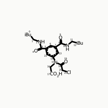 CCC(C)CNC(=O)c1cc(C(=O)NCC(C)CC)cc(N(CC(=O)O)C(=O)CCl)c1